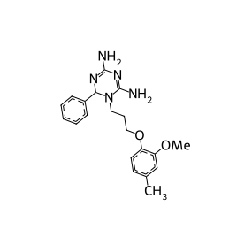 COc1cc(C)ccc1OCCCN1C(N)=NC(N)=NC1c1ccccc1